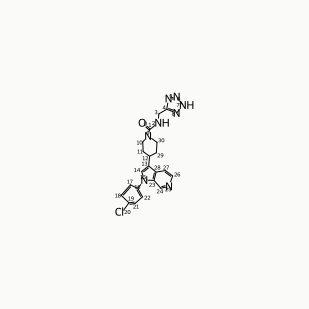 O=C(NCc1nn[nH]n1)N1CCC(c2cn(-c3ccc(Cl)cc3)c3cnccc23)CC1